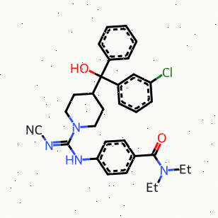 CCN(CC)C(=O)c1ccc(N/C(=N/C#N)N2CCC(C(O)(c3ccccc3)c3cccc(Cl)c3)CC2)cc1